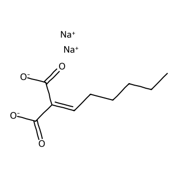 CCCCCC=C(C(=O)[O-])C(=O)[O-].[Na+].[Na+]